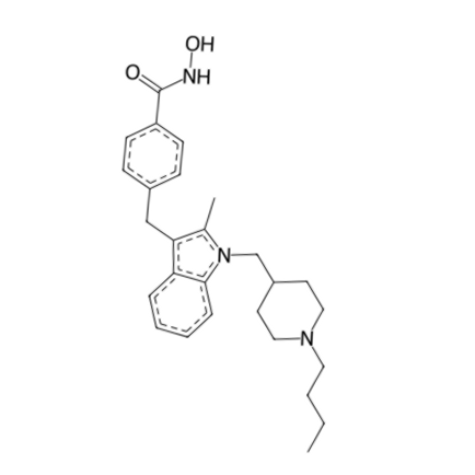 CCCCN1CCC(Cn2c(C)c(Cc3ccc(C(=O)NO)cc3)c3ccccc32)CC1